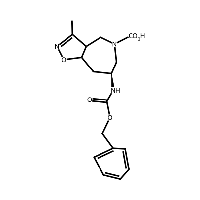 CC1=NOC2C[C@H](NC(=O)OCc3ccccc3)CN(C(=O)O)CC12